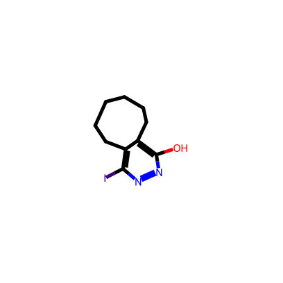 Oc1nnc(I)c2c1CCCCCC2